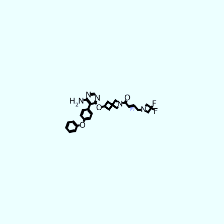 Nc1ncnc(OC2CC3(C2)CN(C(=O)/C=C/CN2CC(F)(F)C2)C3)c1-c1ccc(Oc2ccccc2)cc1